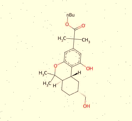 CCCCOC(=O)C(C)(C)c1cc(O)c2c(c1)OC(C)(C)[C@@H]1CC[C@@H](CO)C[C@@H]21